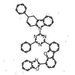 C1=CC(c2ccccc2)Cc2c1n(-c1nc(-c3ccccc3)nc(-c3cccc4c3oc3c(-c5nc6ccccc6o5)cccc34)n1)c1ccccc21